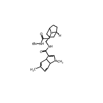 CC1=CC2C(C(=O)NC[C@H]3CC4CC[C@H](C3)N4CC(=O)NC(C)(C)C)=CN(C)C2C=C1